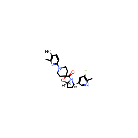 Cc1ncc([C@@H]2CC[C@H]3OC4(CCN(c5ccc(C#N)c(C)n5)CC4)C(=O)N32)cc1F